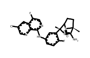 C[C@]1(c2cc(Nc3ncc(F)c4cc(Cl)cnc34)ccc2F)N=C(N)[C@@]2(C)CCC1S2(=O)=O